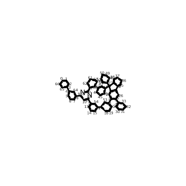 c1ccc(-c2cccc(-c3cc(-c4cccc(-c5cccc(-c6cc7c(cc6-c6ccccc6)-c6ccccc6C7(c6ccccc6)c6ccccc6)c5)c4)nc(-c4ccccc4)n3)c2)cc1